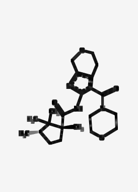 C[C@H]1CC[C@@](C)(C(=O)Nc2sc3c(c2C(=O)N2CCOCC2)CCOC3)C1(C)C